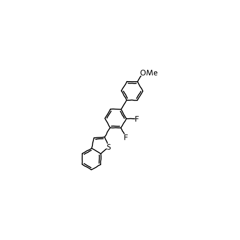 COc1ccc(-c2ccc(-c3cc4ccccc4s3)c(F)c2F)cc1